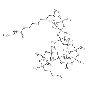 C=CNC(=O)OCCOCCC[Si](C)(C)O[Si](C)(C)O[Si](C)(C)O[Si](C)(C)O[Si](C)(C)O[Si](C)(C)O[Si](C)(C)O[Si](C)(C)O[Si](C)(C)O[Si](C)(C)O[Si](C)(C)O[Si](C)(C)CCCC